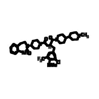 CNc1c(Cl)cc(C[C@@H](CC(=O)N2CCC(N3CCc4ccccc4NC3=O)CC2)C(=O)N2CCC(C3CCN(C)CC3)CC2)cc1C(F)(F)F